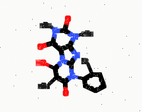 CCCCc1c(O)n2c3c(=O)n(CCCC)c(=O)n(CCCC)c3nc2n(-c2ccccc2CC)c1=O